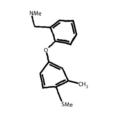 CNCc1ccccc1Oc1ccc(SC)c(C)c1